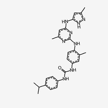 Cc1cc(Nc2cc(C)nc(Nc3ccc(NC(=O)Nc4ccc(C(C)C)cc4)cc3C)n2)[nH]n1